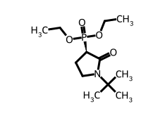 CCOP(=O)(OCC)[C@@H]1CCN(C(C)(C)C)C1=O